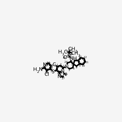 Cc1cc(N2CCC3(Cc4ccccc4C3)C(N[S+]([O-])C(C)(C)C)C2)n2ncnc2c1Sc1ccnc(N)c1Cl